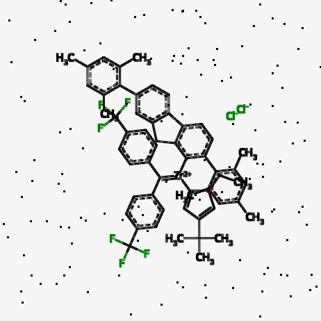 CCC1C=C(C(C)(C)C)C=[C]1[Zr+2](=[C](c1ccc(C(F)(F)F)cc1)c1ccc(C(F)(F)F)cc1)[c]1c(-c2c(C)cc(C)cc2C)ccc2c1Cc1cc(-c3c(C)cc(C)cc3C)ccc1-2.[Cl-].[Cl-]